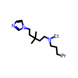 CCN(CCCC(C)C)CCC(C)(C)CCn1ccnc1